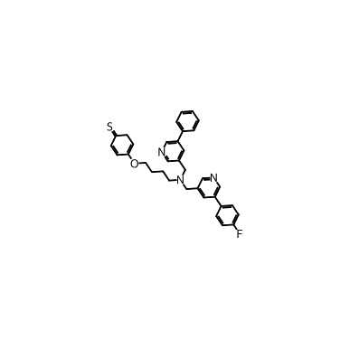 Fc1ccc(-c2cncc(CN(CCCCOC3=CCC(=S)C=C3)Cc3cncc(-c4ccccc4)c3)c2)cc1